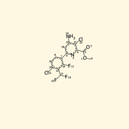 COC(=O)c1nc(-c2ccc(Cl)c(C(F)F)c2F)cc(N)c1Cl